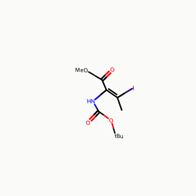 COC(=O)C(NC(=O)OC(C)(C)C)=C(C)I